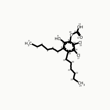 CCCCCCc1c(O)c(OC(=O)O)c(Cl)c(Cl)c1CCCCCC